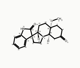 CO[C@]12CCC(=O)C[C@H]1N1CC[C@@]3(C(=O)Nc4ccccc43)[C@@H]1CC2